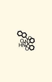 O=C1NC(=O)C(c2ccccc2)(c2ccccc2)N1C(=O)c1ccc2ccccc2c1